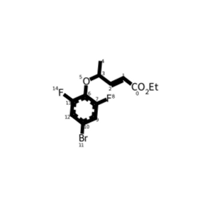 CCOC(=O)/C=C/C(C)Oc1c(F)cc(Br)cc1F